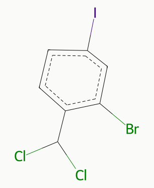 ClC(Cl)c1ccc(I)cc1Br